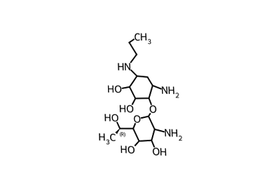 CCCNC1CC(N)C(OC2OC([C@@H](C)O)C(O)C(O)C2N)C(O)C1O